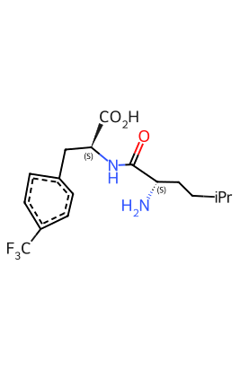 CC(C)CC[C@H](N)C(=O)N[C@@H](Cc1ccc(C(F)(F)F)cc1)C(=O)O